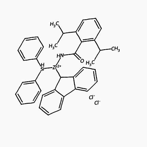 CC(C)c1cccc(C(C)C)c1C(=O)[NH][Zr+2]([CH]1c2ccccc2-c2ccccc21)[SiH](c1ccccc1)c1ccccc1.[Cl-].[Cl-]